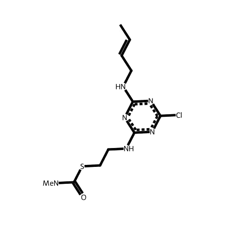 CC=CCNc1nc(Cl)nc(NCCSC(=O)NC)n1